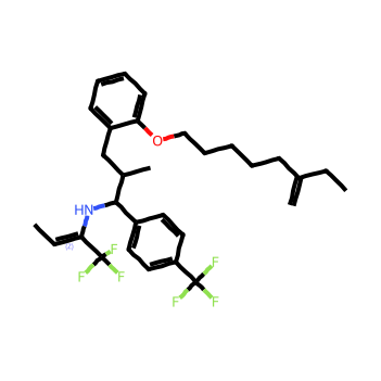 C=C(CC)CCCCCOc1ccccc1CC(C)C(N/C(=C\C)C(F)(F)F)c1ccc(C(F)(F)F)cc1